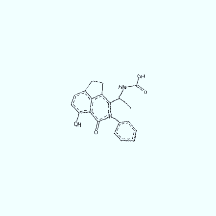 CC(NC(=O)O)c1c2c3c(ccc(O)c3c(=O)n1-c1ccccc1)CC2